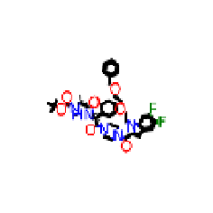 C[C@@H](C(=O)N[C@@H](C(=O)N1CCN(C(=O)c2cc3cc(F)c(F)cc3n2CCOCCOCc2ccccc2)CC1)C1CCCCC1)N(C)C(=O)OC(C)(C)C